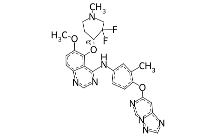 COc1ccc2ncnc(Nc3ccc(Oc4cc5ncnn5cn4)c(C)c3)c2c1O[C@@H]1CCN(C)CC1(F)F